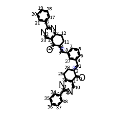 O=C1/C(=C/c2cccc(/C=C3\CCc4nc(-c5ccccc5)ncc4C3=O)c2)CCc2nc(-c3ccccc3)ncc21